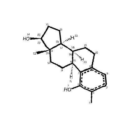 Cc1ccc2c(c1O)[C@H]1CC[C@]3(C)[C@@H](O)CC[C@H]3[C@H]1CC2